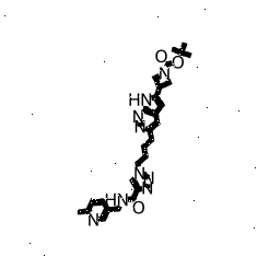 Cc1ccc(CNC(=O)c2cn(CCCCc3cc4cc(C5CN(C(=O)OC(C)(C)C)C5)[nH]c4nn3)nn2)cn1